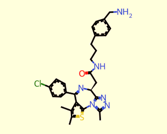 Cc1sc2c(c1C)C(c1ccc(Cl)cc1)=N[C@@H](CC(=O)NCCCc1ccc(CN)cc1)c1nnc(C)n1-2